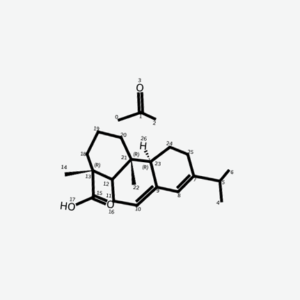 CC(C)=O.CC(C)C1=CC2=CCC3[C@](C)(C(=O)O)CCC[C@]3(C)[C@H]2CC1